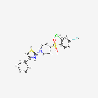 O=S(=O)(c1ccc(F)cc1Cl)C1CCN(c2nc(-c3ccccc3)cs2)CC1